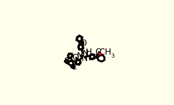 CC1(C)CC2(c3ccc(-c4nc(-c5ccc6c(c5)oc5ccccc56)nc(-c5cccc6c5Oc5ccccc5C65c6ccccc6-c6ccccc65)n4)cc3)CCCCC1C2